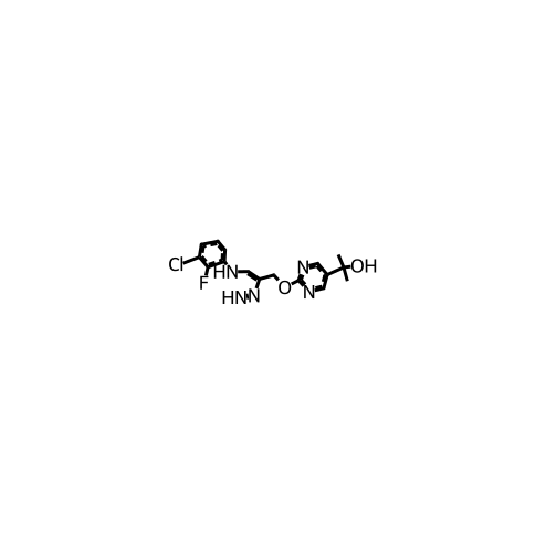 CC(C)(O)c1cnc(OC/C(=C/Nc2cccc(Cl)c2F)N=N)nc1